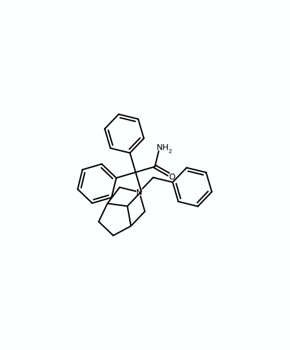 NC(=O)C(CC1C2CCC1CN(Cc1ccccc1)C2)(c1ccccc1)c1ccccc1